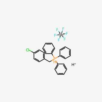 Clc1ccc(C[PH](c2ccccc2)(c2ccccc2)c2ccccc2)cc1.[F][Sb-]([F])([F])([F])([F])[F].[H+]